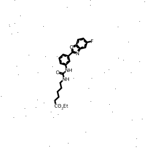 CCOC(=O)CCCCCNC(=O)Nc1cccc(-c2nc3cc(F)ccc3o2)c1